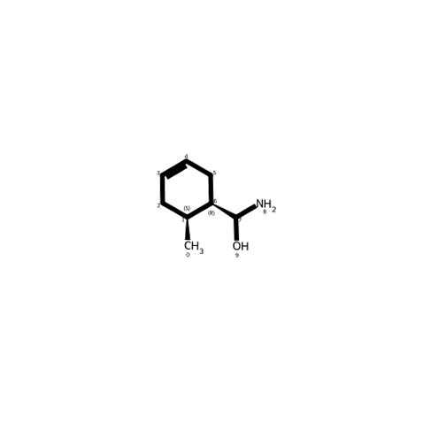 C[C@H]1CC=CC[C@H]1C(N)O